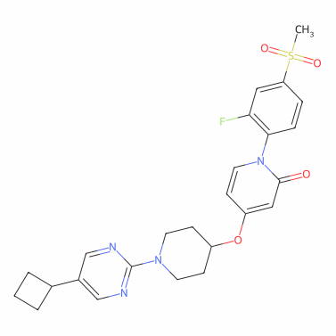 CS(=O)(=O)c1ccc(-n2ccc(OC3CCN(c4ncc(C5CCC5)cn4)CC3)cc2=O)c(F)c1